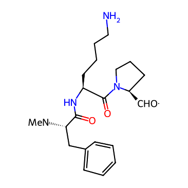 CN[C@@H](Cc1ccccc1)C(=O)N[C@@H](CCCCN)C(=O)N1CCC[C@H]1[C]=O